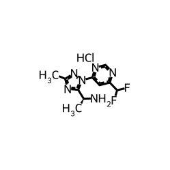 Cc1nc([C@H](C)N)n(-c2cc(C(F)F)ncn2)n1.Cl